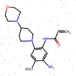 C=CC(=O)Nc1cc(N)c(OC)cc1N1CCC(N2CCOCC2)CC1